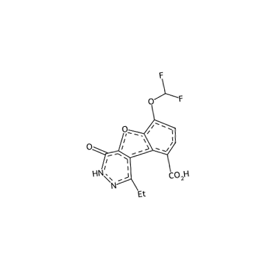 CCc1n[nH]c(=O)c2oc3c(OC(F)F)ccc(C(=O)O)c3c12